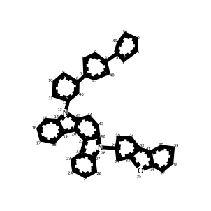 c1ccc(-c2ccc(-c3cccc(-n4c5ccccc5c5c6c7ccccc7n(-c7ccc8c(c7)oc7ccccc78)c6ccc54)c3)cc2)cc1